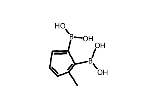 Cc1cccc(B(O)O)c1B(O)O